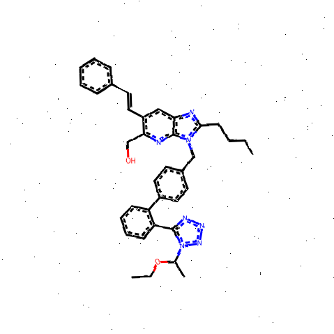 CCCCc1nc2cc(C=Cc3ccccc3)c(CO)nc2n1Cc1ccc(-c2ccccc2-c2nnnn2C(C)OCC)cc1